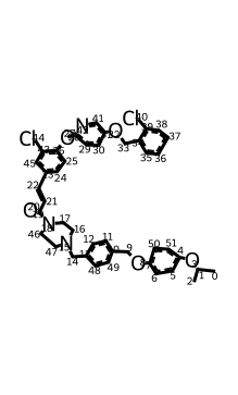 CC(C)Oc1ccc(OCc2ccc(CN3CCN(C(=O)/C=C/c4ccc(Oc5ccc(OCc6ccccc6Cl)cn5)c(Cl)c4)CC3)cc2)cc1